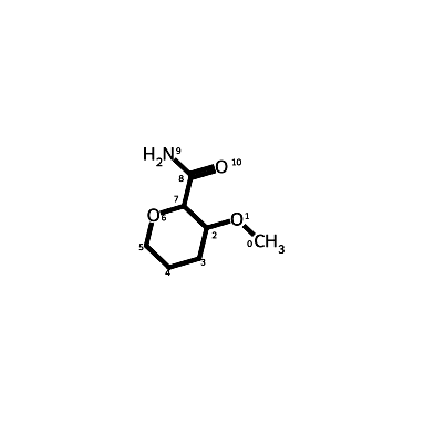 COC1CCCOC1C(N)=O